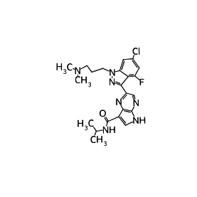 CC(C)NC(=O)c1c[nH]c2ncc(-c3nn(CCCN(C)C)c4cc(Cl)cc(F)c34)nc12